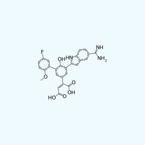 COc1ccc(F)cc1-c1cc(/C(=C/C(=O)O)C(=O)O)cc(-c2cc3cc(C(=N)N)ccc3[nH]2)c1O